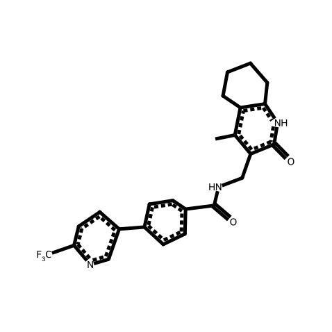 Cc1c2c([nH]c(=O)c1CNC(=O)c1ccc(-c3ccc(C(F)(F)F)nc3)cc1)CCCC2